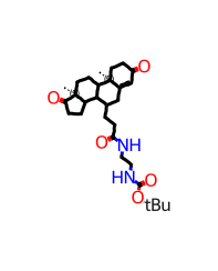 CC(C)(C)OC(=O)NCCNC(=O)CCC1CC2=CC(=O)CC[C@]2(C)C2CC[C@]3(C)C(=O)CCC3C12